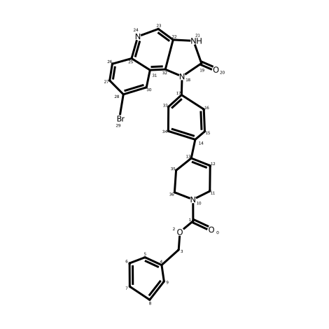 O=C(OCc1ccccc1)N1CC=C(c2ccc(-n3c(=O)[nH]c4cnc5ccc(Br)cc5c43)cc2)CC1